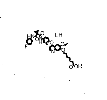 CCOc1cc2c(Oc3ccc(NC(=O)C4(C(=O)Nc5ccc(F)cc5)CC4)cc3F)ccnc2cc1OCCCCCCC(=O)O.[LiH]